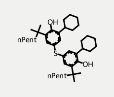 CCCCCC(C)(C)c1cc(Sc2cc(C3CCCCC3)c(O)c(C(C)(C)CCCCC)c2)cc(C2CCCCC2)c1O